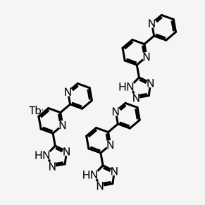 [Tb].c1ccc(-c2cccc(-c3ncn[nH]3)n2)nc1.c1ccc(-c2cccc(-c3ncn[nH]3)n2)nc1.c1ccc(-c2cccc(-c3ncn[nH]3)n2)nc1